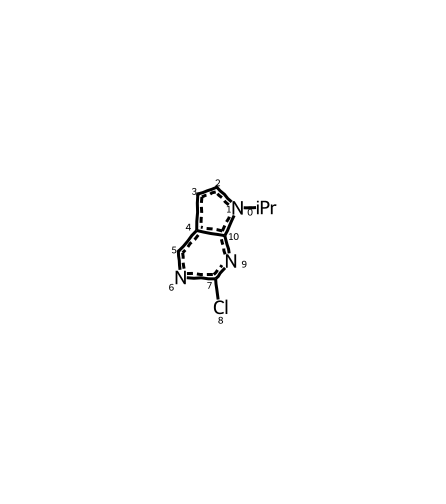 CC(C)n1ccc2cnc(Cl)nc21